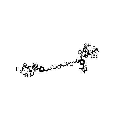 Cc1ncsc1-c1ccc(CNC(=O)[C@@H]2C[C@@H](O)CN2C(=O)[C@@H](NC(=O)C2(F)CC2)C(C)(C)C)c(OCCOCCOCCOCCOCCCc2ccc(CO[C@H](C)[C@H](CCC(N)=O)NC(=O)OC(C)(C)C)cc2)c1